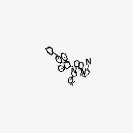 COc1cc(C(=O)N2C[C@H](OC(C)(C)C)C[C@H]2C(=O)N2CCCC2C#N)cc(OC)c1OCc1ccccc1